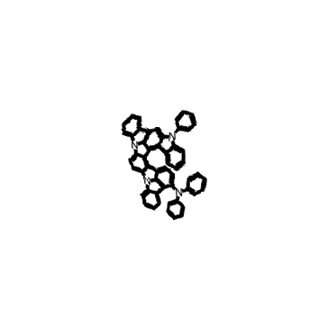 c1ccc(N(c2ccccc2)c2ccc3c4c5c6c7c8ccccc8n(-c8ccccc8)c7cc7c8ccccc8n(c5ccc4n4c5ccccc5c2c34)c76)cc1